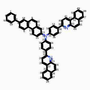 c1ccc(-c2ccc3c(ccc4cc(N(c5ccc(-c6ccc7c(ccc8ccccc87)n6)cc5)c5ccc(-c6ccc7c(ccc8ccccc87)n6)cc5)ccc43)c2)cc1